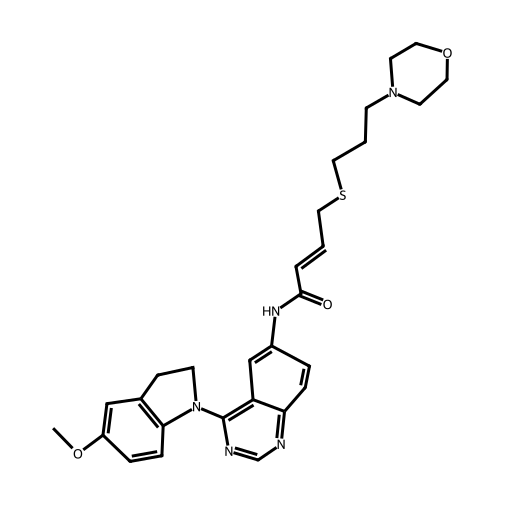 COc1ccc2c(c1)CCN2c1ncnc2ccc(NC(=O)C=CCSCCCN3CCOCC3)cc12